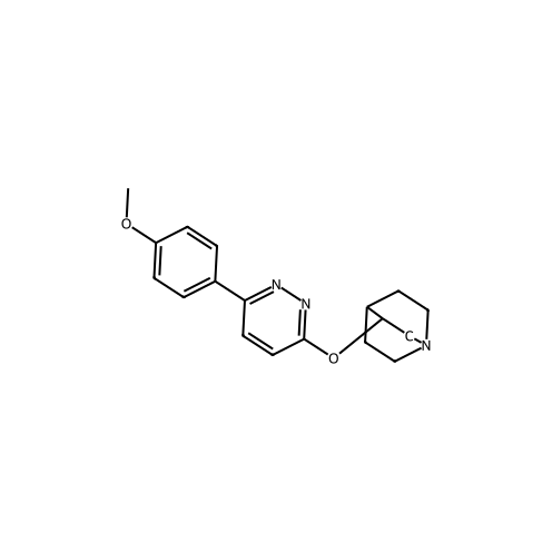 COc1ccc(-c2ccc(OC3CN4CCC3CC4)nn2)cc1